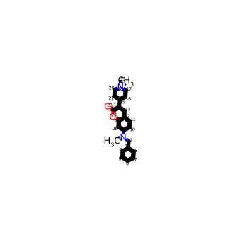 CN(Cc1ccccc1)c1ccc2cc(-c3cc[n+](C)cc3)c(=O)oc2c1